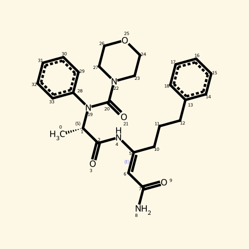 C[C@@H](C(=O)N/C(=C/C(N)=O)CCCc1ccccc1)N(C(=O)N1CCOCC1)c1ccccc1